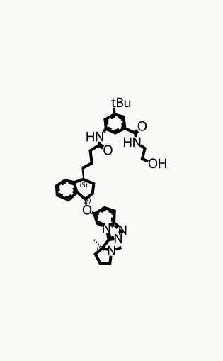 CN1CCC[C@@]1(C)c1nnc2ccc(O[C@@H]3CC[C@H](CCCC(=O)Nc4cc(C(=O)NCCO)cc(C(C)(C)C)c4)c4ccccc43)cn12